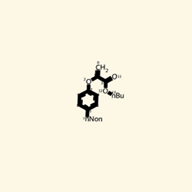 C=C(Oc1ccc(CCCCCCCCC)cc1)C(=O)OCCCC